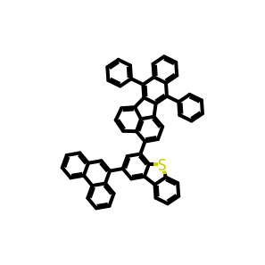 c1ccc(-c2c3c(c(-c4ccccc4)c4ccccc24)-c2ccc(-c4cc(-c5cc6ccccc6c6ccccc56)cc5c4sc4ccccc45)c4cccc-3c24)cc1